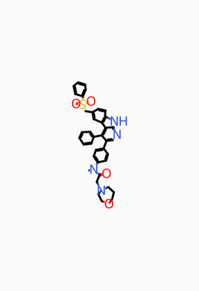 CN(C(=O)CN1CCCOCC1)c1ccc(-c2cnc3[nH]c4ccc(CS(=O)(=O)c5ccccc5)cc4c3c2-c2ccccc2)cc1